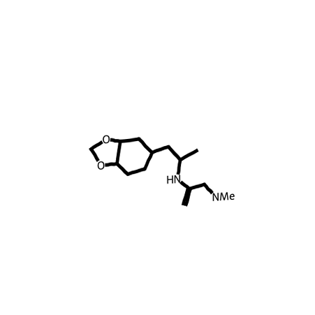 C=C(CNC)NC(C)CC1CCC2OCOC2C1